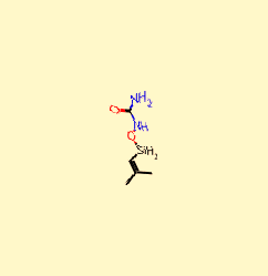 CC(C)=C[SiH2]ONC(N)=O